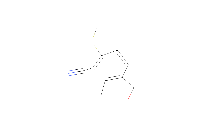 CSc1ccc(CO)c(C)c1C#N